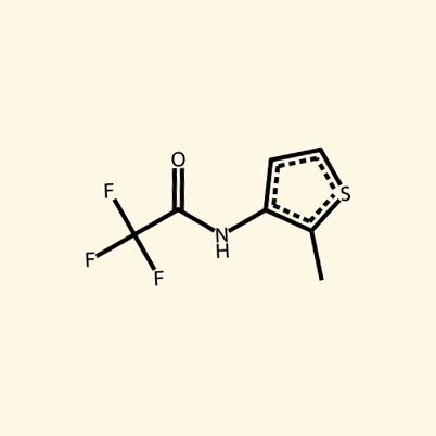 Cc1sccc1NC(=O)C(F)(F)F